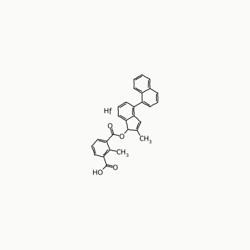 CC1=Cc2c(-c3cccc4ccccc34)cccc2C1OC(=O)c1cccc(C(=O)O)c1C.[Hf]